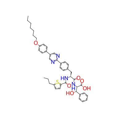 CCCCCCCOc1ccc(-c2cnc(-c3ccc(C[C@H](NC(=O)c4ccc(CCC)s4)C(=O)NC(C(=O)O)C(O)c4ccccc4)cc3)nc2)cc1